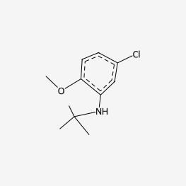 COc1ccc(Cl)cc1NC(C)(C)C